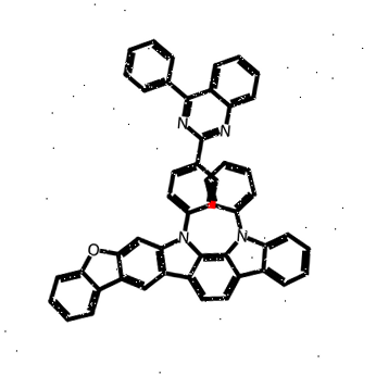 c1ccc(-c2nc(-c3ccc(-n4c5cc6oc7ccccc7c6cc5c5ccc6c7ccccc7n(-c7ccccc7)c6c54)cc3)nc3ccccc23)cc1